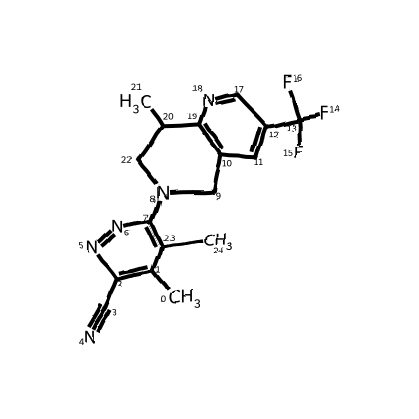 Cc1c(C#N)nnc(N2Cc3cc(C(F)(F)F)cnc3C(C)C2)c1C